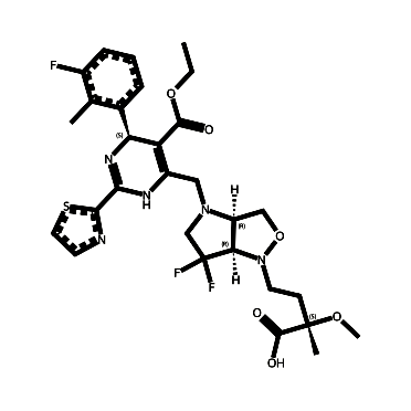 CCOC(=O)C1=C(CN2CC(F)(F)[C@H]3[C@@H]2CON3CC[C@](C)(OC)C(=O)O)NC(c2nccs2)=N[C@H]1c1cccc(F)c1C